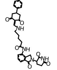 O=C1CCC(N2Cc3c(NC(=O)CCCCNC=C4C(=O)CC(c5ccccc5)CC4=O)cccc3C2=O)C(=O)N1